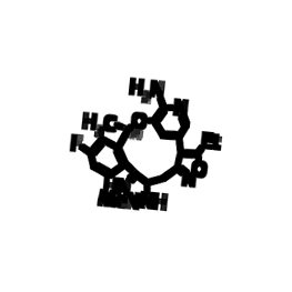 CCc1onc2c1-c1cnc(N)c(c1)O[C@H](C)c1cc(F)ccc1C(=N)C(NNC)C2